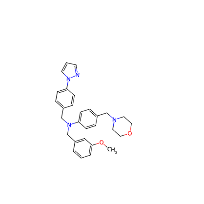 COc1cccc(CN(Cc2ccc(-n3cccn3)cc2)c2ccc(CN3CCOCC3)cc2)c1